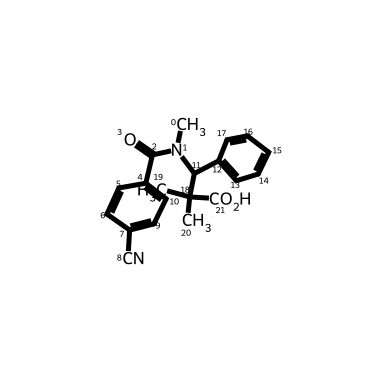 CN(C(=O)c1ccc(C#N)cc1)C(c1ccccc1)C(C)(C)C(=O)O